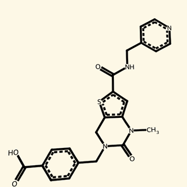 CN1C(=O)N(Cc2ccc(C(=O)O)cc2)Cc2sc(C(=O)NCc3ccncc3)cc21